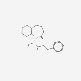 CCOC(=O)C(CCc1ccccc1)N(CC(=O)O)N1C(=O)CCCC2CCCCC21